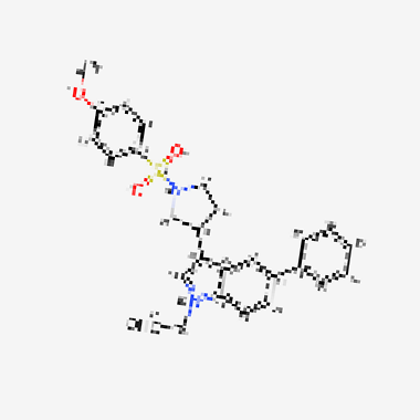 CC(C)Oc1ccc(S(=O)(=O)N2CCC(c3cn(CC=O)c4ccc(-c5ccccc5)cc34)C2)cc1